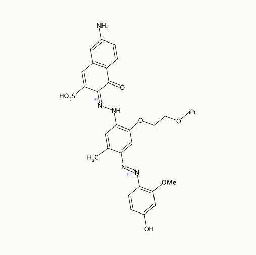 COc1cc(O)ccc1/N=N/c1cc(OCCOC(C)C)c(N/N=C2\C(=O)c3ccc(N)cc3C=C2S(=O)(=O)O)cc1C